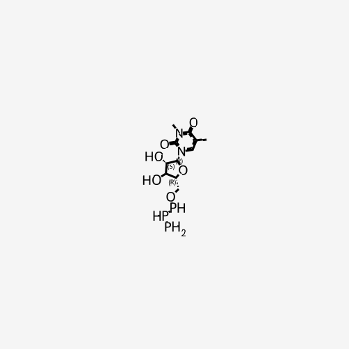 Cc1cn([C@@H]2O[C@H](COPPP)C(O)[C@@H]2O)c(=O)n(C)c1=O